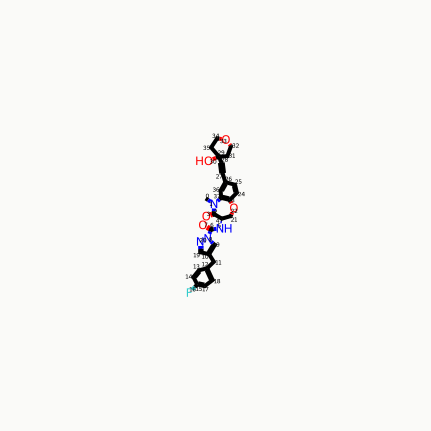 CN1C(=O)[C@@H](NC(=O)n2cc(Cc3ccc(F)cc3)cn2)COc2ccc(C#CC3(O)CCOCC3)cc21